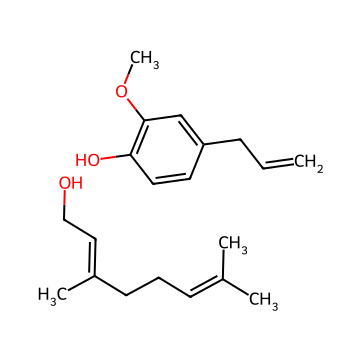 C=CCc1ccc(O)c(OC)c1.CC(C)=CCCC(C)=CCO